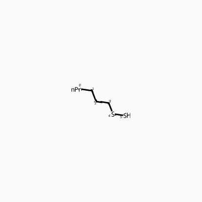 CCCC[CH]CSS